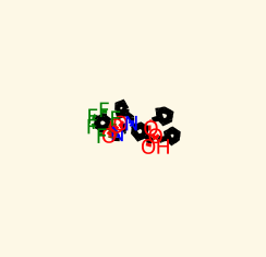 CN(CC(=O)N(CC1CC2C=CC1C2)c1ccc(C(O)OCc2ccccc2)c(OCc2ccccc2)c1)S(=O)(=O)c1c(F)c(F)c(F)c(F)c1F